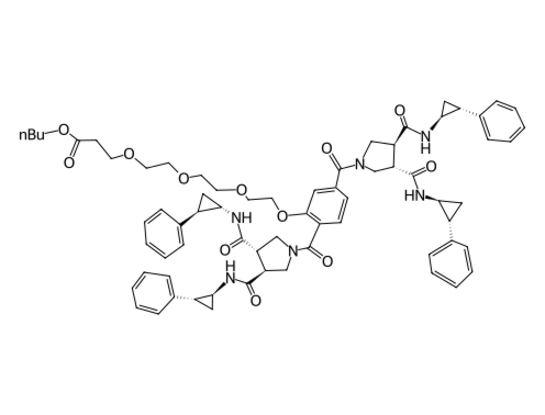 CCCCOC(=O)CCOCCOCCOCCOc1cc(C(=O)N2C[C@@H](C(=O)N[C@H]3C[C@@H]3c3ccccc3)[C@H](C(=O)N[C@H]3C[C@@H]3c3ccccc3)C2)ccc1C(=O)N1C[C@@H](C(=O)N[C@H]2C[C@@H]2c2ccccc2)[C@H](C(=O)N[C@H]2C[C@@H]2c2ccccc2)C1